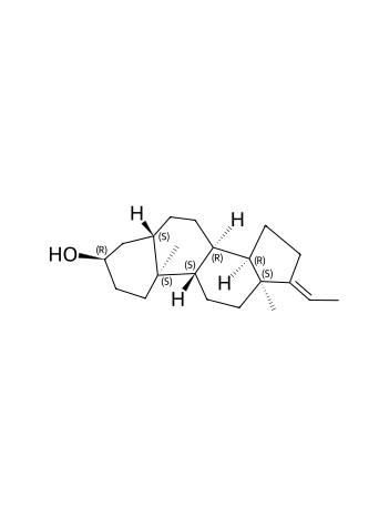 CC=C1CC[C@@H]2[C@@H]3CC[C@H]4C[C@H](O)CC[C@]4(C)[C@H]3CC[C@]12C